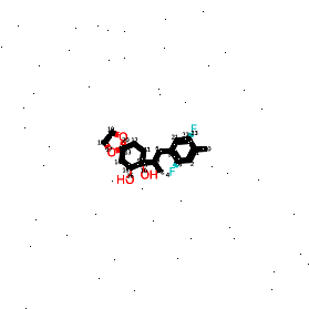 Cc1cc(F)c(CC(C)[C@]2(O)CCC3(C[C@H]2O)OCCO3)cc1F